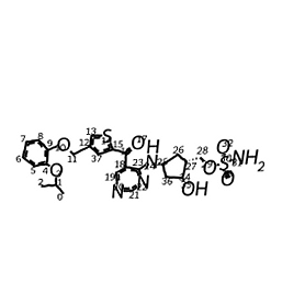 CC(C)Oc1ccccc1OCc1csc(C(=O)c2cncnc2N[C@@H]2C[C@H](COS(N)(=O)=O)[C@@H](O)C2)c1